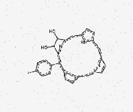 OC1c2cc3ccc(cc4nc(cc5ccc(s5)c(-c5ccc(F)cc5)c(n2)C1O)C=C4)[nH]3